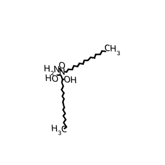 CCCCCCCCCCCCCCCCN(C(N)=O)C(CO)C(O)CCCCCCCCCCCCCCC